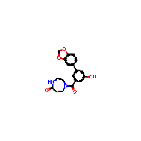 O=C1CCN(C(=O)c2cc(O)cc(-c3ccc4c(c3)OCO4)c2)CCN1